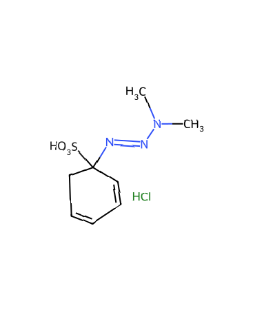 CN(C)N=NC1(S(=O)(=O)O)C=CC=CC1.Cl